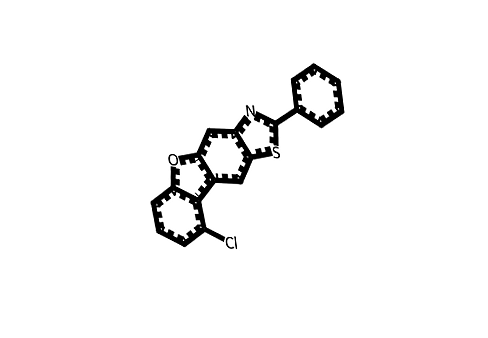 Clc1cccc2oc3cc4nc(-c5ccccc5)sc4cc3c12